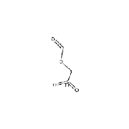 O=COC[SH](=O)=O